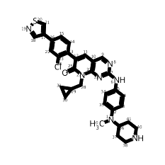 CN(c1ccc(Nc2ncc3cc(-c4ccc(-c5cnsc5)cc4Cl)c(=O)n(CC4CC4)c3n2)cc1)C1CCNCC1